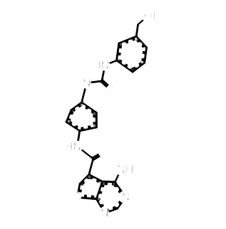 Nc1ncnc2scc(C(=O)Nc3ccc(NC(=O)Nc4cccc(CO)c4)cc3)c12